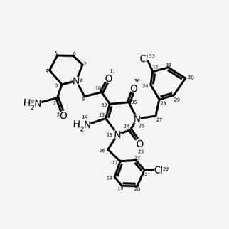 NC(=O)C1CCCCN1CC(=O)c1c(N)n(Cc2cccc(Cl)c2)c(=O)n(Cc2cccc(Cl)c2)c1=O